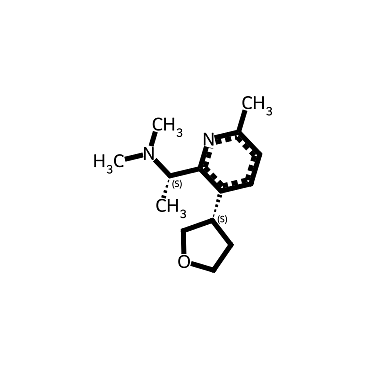 Cc1ccc([C@@H]2CCOC2)c([C@H](C)N(C)C)n1